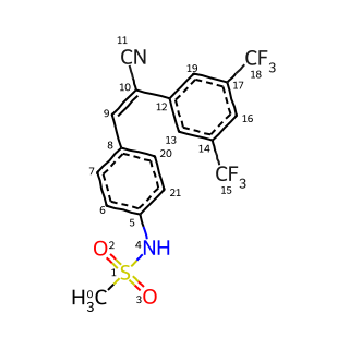 CS(=O)(=O)Nc1ccc(C=C(C#N)c2cc(C(F)(F)F)cc(C(F)(F)F)c2)cc1